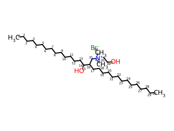 CCCCCCCCCCCCCCC(O)C(CCCCCCCCCCCCCC)C[N+](C)(C)CCO.[Br-]